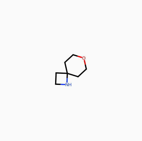 C1CC2(CCOCC2)N1